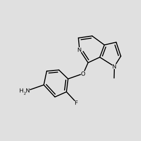 Cn1ccc2ccnc(Oc3ccc(N)cc3F)c21